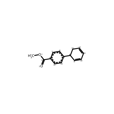 COC(=O)c1ccc(C2C=CC=CC2)cc1